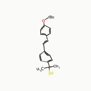 CC(C)(C)Oc1ccc(/C=C/c2ccc(C(C)(C)S)cc2)cc1